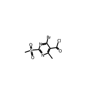 Cc1nc(S(C)(=O)=O)nc(Br)c1C(=O)Cl